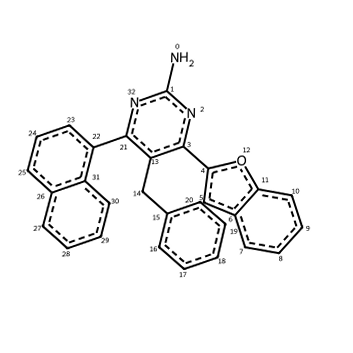 Nc1nc(-c2cc3ccccc3o2)c(Cc2ccccc2)c(-c2cccc3ccccc23)n1